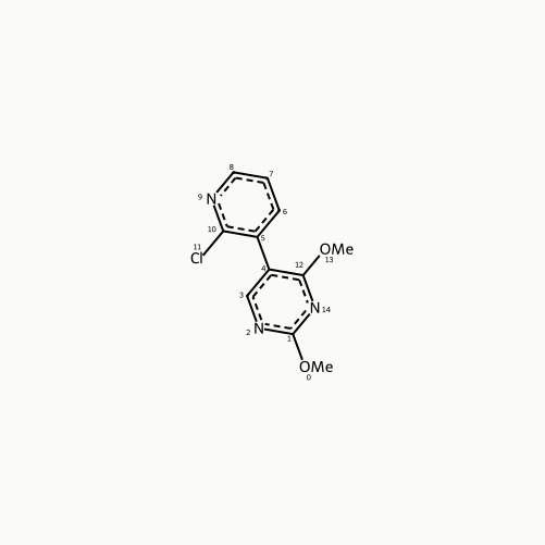 COc1ncc(-c2cccnc2Cl)c(OC)n1